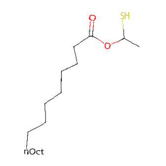 CCCCCCCCCCCCCCCC(=O)OC(C)S